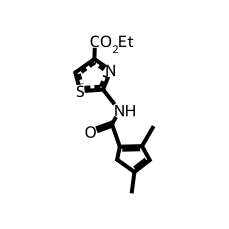 CCOC(=O)c1csc(NC(=O)C2=C(C)C=C(C)C2)n1